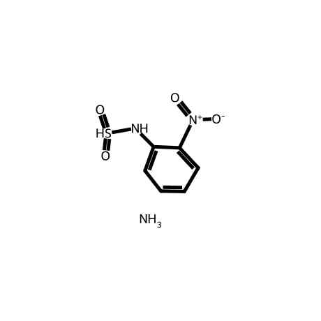 N.O=[N+]([O-])c1ccccc1N[SH](=O)=O